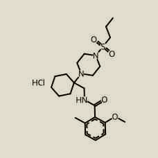 CCCS(=O)(=O)N1CCN(C2(CNC(=O)c3c(C)cccc3OC)CCCCC2)CC1.Cl